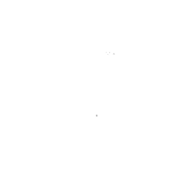 CCCc1ccc(F)c(OC)c1